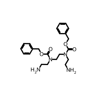 NCCN(CCN(CCN)C(=O)OCc1ccccc1)C(=O)OCc1ccccc1